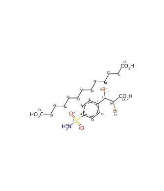 NS(=O)(=O)c1ccc(C(Br)C(Br)C(=O)O)cc1.O=C(O)CCCCCCCCCCCC(=O)O